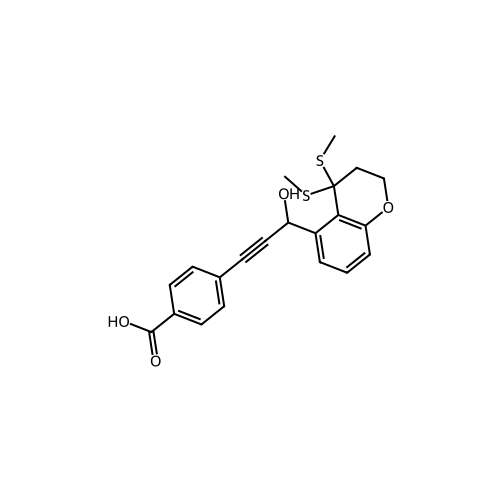 CSC1(SC)CCOc2cccc(C(O)C#Cc3ccc(C(=O)O)cc3)c21